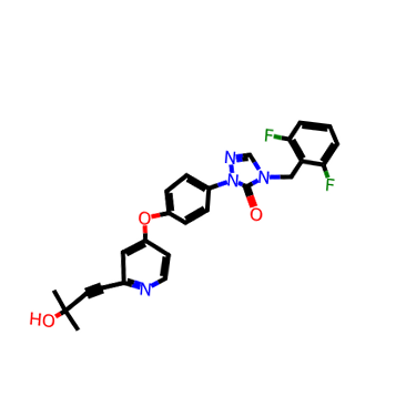 CC(C)(O)C#Cc1cc(Oc2ccc(-n3ncn(Cc4c(F)cccc4F)c3=O)cc2)ccn1